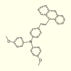 COc1ccc(N(c2ccc(C=Cc3c4ccccc4cc4ccccc34)cc2)c2ccc(OC)cc2)cc1